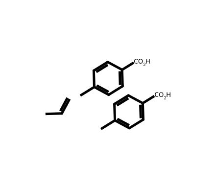 C=CC.Cc1ccc(C(=O)O)cc1.Cc1ccc(C(=O)O)cc1